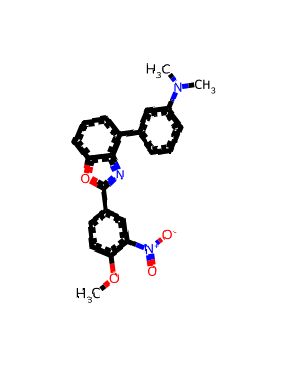 COc1ccc(-c2nc3c(-c4cccc(N(C)C)c4)cccc3o2)cc1[N+](=O)[O-]